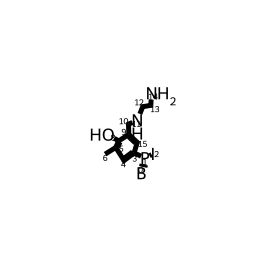 B#P(I)c1cc(C)c(O)c(CNCCN)c1